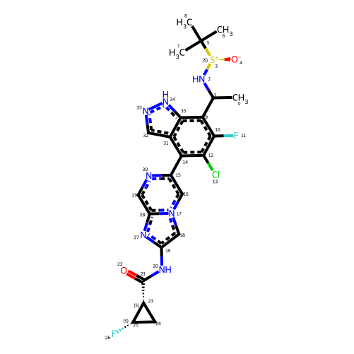 CC(N[S@+]([O-])C(C)(C)C)c1c(F)c(Cl)c(-c2cn3cc(NC(=O)[C@@H]4C[C@@H]4F)nc3cn2)c2cn[nH]c12